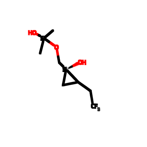 C[Si](C)(O)OC[Si@]1(O)CC1CC(F)(F)F